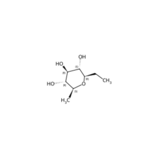 CC[C@H]1O[C@@H](C)[C@H](O)[C@@H](O)[C@@H]1O